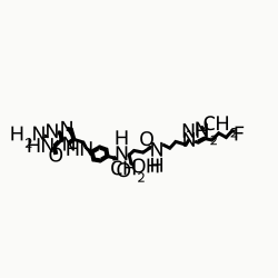 C=N/C(=C\N(N)CCCCNC(=O)CCC(NC(=C)c1ccc(NCc2cnc3nc(N)[nH]c(=O)c3n2)cc1)C(=O)O)CCCCF